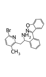 Cc1ccc(Br)nc1CC(N)c1ccccc1-c1noc2ccccc12